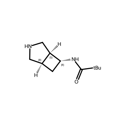 CC(C)(C)C(=O)N[C@@H]1C[C@H]2CNC[C@H]21